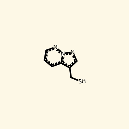 SCc1cnn2ncccc12